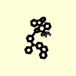 CC1(C)c2ccccc2C2(c3ccccc3-c3ccccc32)c2ccc(-c3cccc(N(c4ccccc4)c4ccc5ccc6ccccc6c5c4)c3)cc21